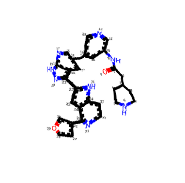 O=C(CC1CCNCC1)Nc1cncc(-c2cnc3[nH]nc(-c4cc5c(-c6ccoc6)nccc5[nH]4)c3c2)c1